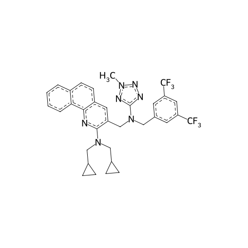 Cn1nnc(N(Cc2cc(C(F)(F)F)cc(C(F)(F)F)c2)Cc2cc3ccc4ccccc4c3nc2N(CC2CC2)CC2CC2)n1